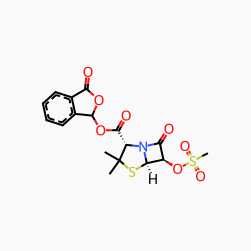 CC1(C)S[C@@H]2[C@H](OS(C)(=O)=O)C(=O)N2[C@H]1C(=O)OC1OC(=O)c2ccccc21